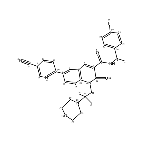 CC(NC(=O)c1cc2cc(-c3ccc(C#N)cn3)cnc2n(CC(C)(C)N2CCOCC2)c1=O)c1ccc(F)cc1